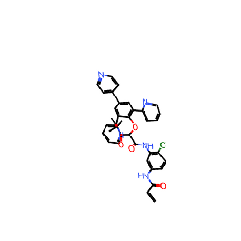 C=CC(=O)Nc1ccc(Cl)c(NC(=O)C(Oc2c(-c3ccccn3)cc(-c3ccncc3)cc2-c2ccccn2)C(=O)C(C)(C)C)c1